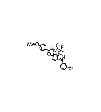 COc1ccc([C@@H](Oc2ccc3c(cnn3-c3cccc(Br)c3)c2)[C@H](C)NC(=O)C(C)(F)F)cn1